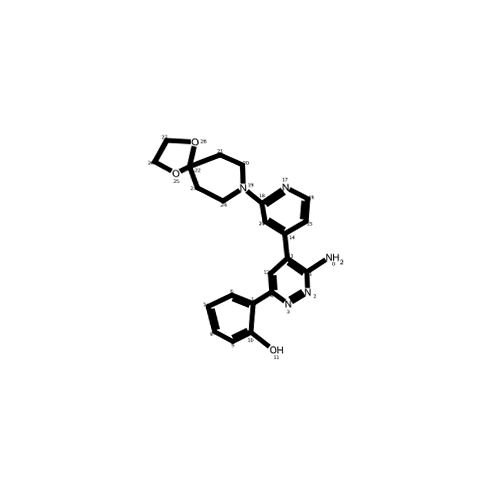 Nc1nnc(-c2ccccc2O)cc1-c1ccnc(N2CCC3(CC2)OCCO3)c1